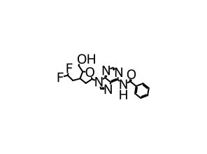 O=C(Nc1ncnc2c1ncn2C1CC(CC(F)F)C(CO)O1)c1ccccc1